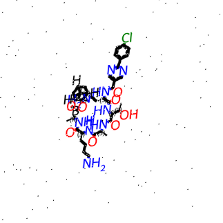 C[C@H](NC(=O)[C@H](CCCCN)NC(=O)[C@H](C)NC(=O)[C@@H](NC(=O)[C@H](CCN)NC(=O)c1cnc(-c2ccc(Cl)cc2)nc1)[C@@H](C)O)B1O[C@@H]2C[C@@H]3C[C@@H](C3(C)C)[C@]2(C)O1